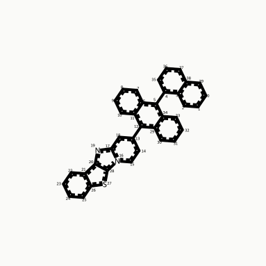 c1ccc2c(-c3c4ccccc4c(-c4ccn5c(c4)nc4c6ccccc6sc45)c4ccccc34)cccc2c1